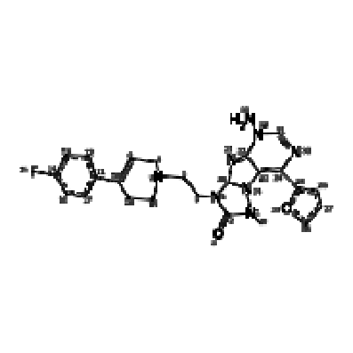 CN1C(=O)N(CCN2CC=C(c3ccc(F)cc3)CC2)C2N=C3C(=C(c4ccco4)N=CN3N)N21